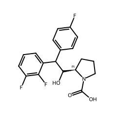 O=C(O)N1CCC[C@@H]1C(O)C(c1ccc(F)cc1)c1cccc(F)c1F